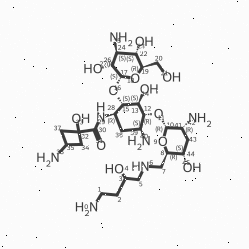 NCCC(O)CNC[C@H]1O[C@H](O[C@H]2[C@H](O)[C@@H](O[C@H]3O[C@H](CO)[C@@H](O)[C@H](N)[C@H]3O)[C@H](NC(=O)C3(O)CC(N)C3)C[C@@H]2N)[C@H](N)C[C@@H]1O